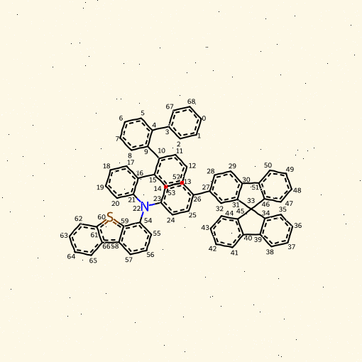 c1ccc(-c2ccccc2-c2ccccc2-c2ccccc2N(c2ccc(-c3ccc4c(c3)C3(c5ccccc5-c5ccccc53)c3ccccc3-4)cc2)c2cccc3c2sc2ccccc23)cc1